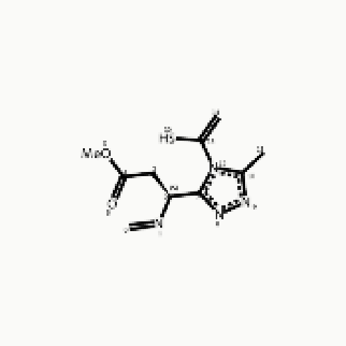 C=N[C@@H](CC(=O)OC)c1nnc(C)n1C(=C)S